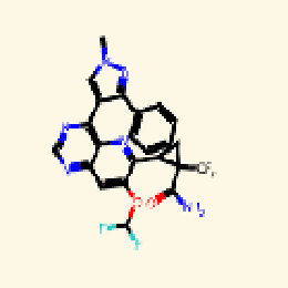 Cn1cc(-c2ncnc3cc(OC(F)F)c(C4CC4(C(N)=O)C(F)(F)F)nc23)c(-c2ccccc2)n1